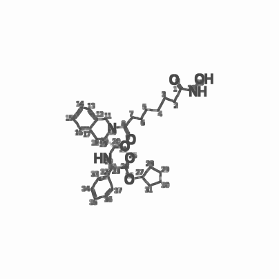 O=C(CCCCCCC(=O)N1Cc2ccccc2C[C@H]1C(=O)N[C@H](C(=O)OC1CCCC1)c1ccccc1)NO